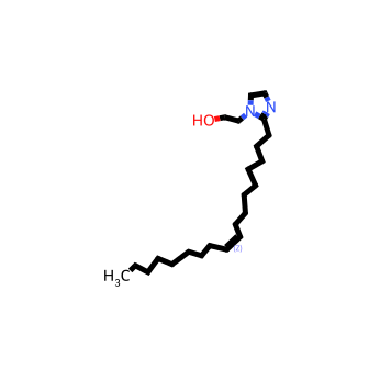 CCCCCCCC/C=C\CCCCCCCCC1=NCCN1CCO